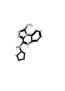 Cc1nnc2c(NC3CCCC3)nc3ccccc3n12